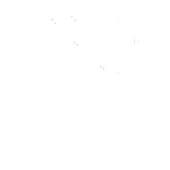 CC(C)C(NC(=O)c1ccc(Cl)cc1)n1nnc2ccccc21